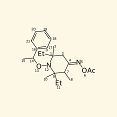 CCC1(C)CC(=NOC(C)=O)C(C)C(C)(CC)N1OC(C)c1ccccc1